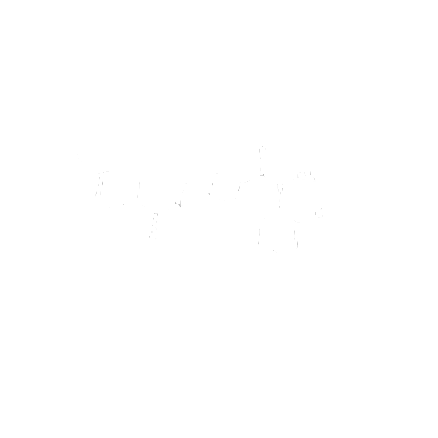 CN(C(=O)C1CC2(C1)CN(C(=O)c1ccc(F)cc1)C2)c1ccccc1Cl